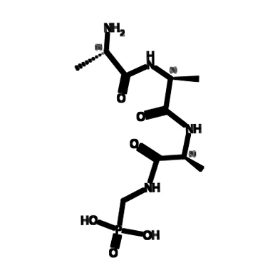 C[C@H](N)C(=O)N[C@@H](C)C(=O)N[C@@H](C)C(=O)NCP(=O)(O)O